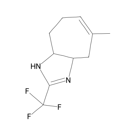 CC1=CCCC2NC(C(F)(F)F)=NC2C1